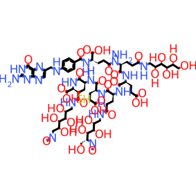 Nc1nc2ncc(CNc3ccc(C(=O)N[C@@H](CCC(=O)N(N)[C@@H](CCC(=O)NC[C@H](O)[C@@H](O)[C@H](O)[C@H](O)CO)C(=O)N[C@@H](CCC(=O)O)C(=O)N[C@@H](CCC(=O)NC[C@H](O)[C@@H](O)[C@H](O)[C@@H](CO)N=O)C(=O)N[C@@H](CCC(=O)O)C(=O)N[C@@H](CCC(=O)NC[C@H](O)[C@@H](O)[C@H](O)[C@H](O)CN=O)C(=O)N[C@@H](CS)C(=O)O)C(=O)O)cc3)nc2c(=O)[nH]1